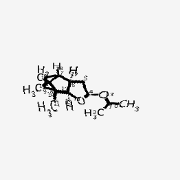 CC(C)O[C@@H]1C[C@@H]2[C@H]3CCC(C)([C@@H]2O1)C3(C)C